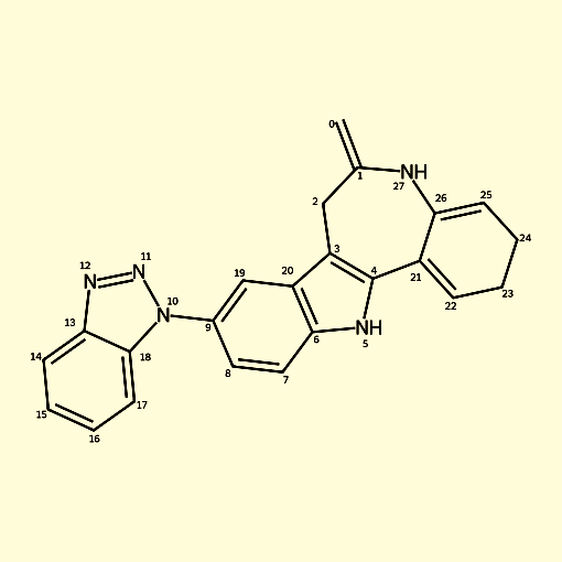 C=C1Cc2c([nH]c3ccc(-n4nnc5ccccc54)cc23)C2=CCCC=C2N1